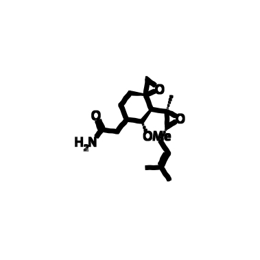 CO[C@@H]1C(CC(N)=O)CC[C@]2(CO2)[C@H]1[C@@]1(C)O[C@@H]1CC=C(C)C